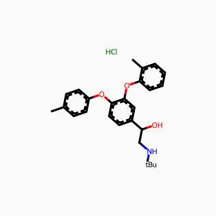 Cc1ccc(Oc2ccc(C(O)CNC(C)(C)C)cc2Oc2ccccc2C)cc1.Cl